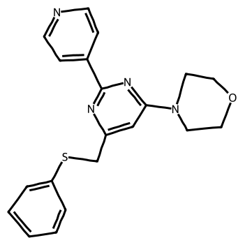 c1ccc(SCc2cc(N3CCOCC3)nc(-c3ccncc3)n2)cc1